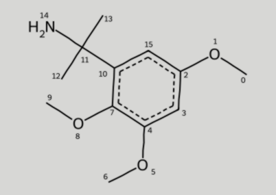 COc1cc(OC)c(OC)c(C(C)(C)N)c1